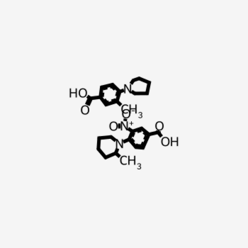 CC1CCCCN1c1ccc(C(=O)O)cc1[N+](=O)[O-].Cc1cc(C(=O)O)ccc1N1CCCCC1